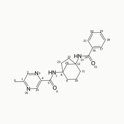 Cc1cnc(C(=O)NC23CCCC(NC(=O)c4ccccc4)(CC2)C3)cn1